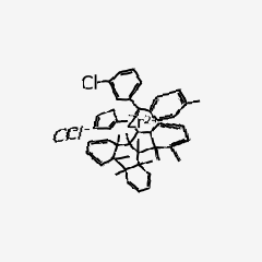 CC1=CC=CC2[CH](/[Zr+2]([C]3=CC=CC3)=[C](\c3ccc(C)cc3)c3cccc(Cl)c3)C3(C)C4(C)C=CC=CC4(C)C4(C)C=CC=CC4(C)C3(C)C12C.[Cl-].[Cl-]